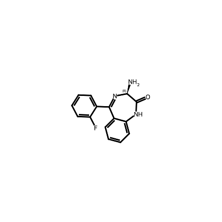 N[C@@H]1N=C(c2ccccc2F)c2ccccc2NC1=O